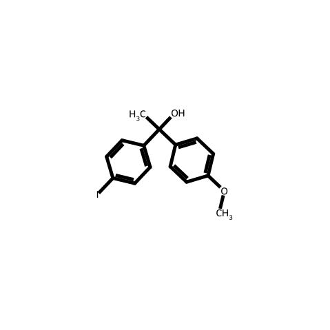 COc1ccc(C(C)(O)c2ccc(I)cc2)cc1